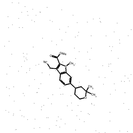 COC(=O)c1c(CC#N)c2ccc(C3CCOC(C)(C)C3)cc2n1C